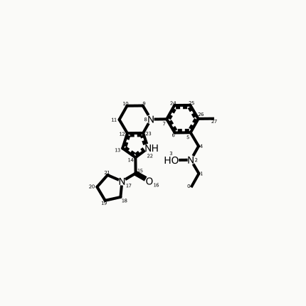 CCN(O)Cc1cc(N2CCCc3cc(C(=O)N4CCCC4)[nH]c32)ccc1C